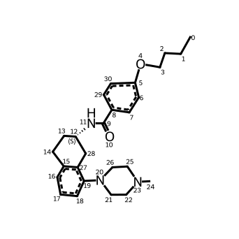 CCCCOc1ccc(C(=O)N[C@H]2CCc3cccc(N4CCN(C)CC4)c3C2)cc1